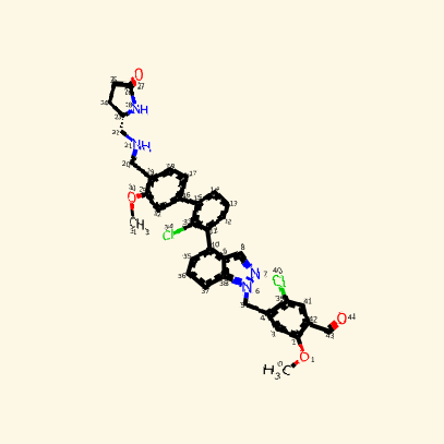 COc1cc(Cn2ncc3c(-c4cccc(-c5ccc(CNC[C@@H]6CCC(=O)N6)c(OC)c5)c4Cl)cccc32)c(Cl)cc1C=O